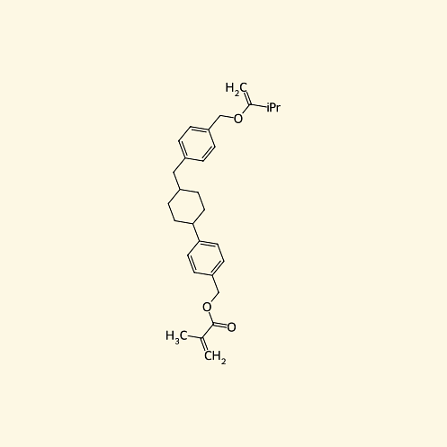 C=C(C)C(=O)OCc1ccc(C2CCC(Cc3ccc(COC(=C)C(C)C)cc3)CC2)cc1